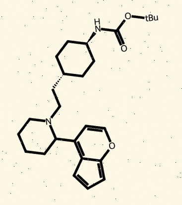 CC(C)(C)OC(=O)N[C@H]1CC[C@H](CCN2CCCCC2c2ccoc3cccc2-3)CC1